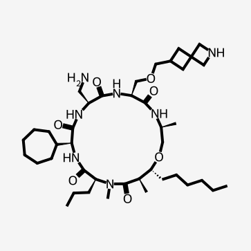 CCCCCC[C@H]1OC[C@H](C)NC(=O)[C@H](COCC2CC3(CNC3)C2)NC(=O)[C@H](CN)NC(=O)[C@H](C2CCCCCC2)NC(=O)[C@H](CCC)N(C)C(=O)[C@@H]1C